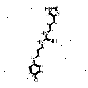 N=C(NCCCSc1ccc(Cl)cc1)NCCCc1c[nH]cn1